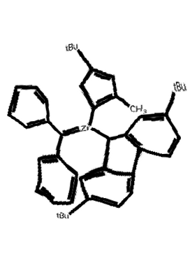 CC1=[C]([Zr](=[C](c2ccccc2)c2ccccc2)[CH]2c3cc(C(C)(C)C)ccc3-c3ccc(C(C)(C)C)cc32)CC(C(C)(C)C)=C1